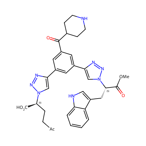 COC(=O)[C@H](Cc1c[nH]c2ccccc12)n1cc(-c2cc(C(=O)C3CCNCC3)cc(-c3cn([C@@H](CCC(C)=O)C(=O)O)nn3)c2)nn1